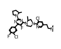 CC1CCCN1c1nc(-c2ccc(F)c(Cl)c2)c(F)c(N2CCN(c3ncc(CCN(C)C)cc3Cl)CC2C)n1